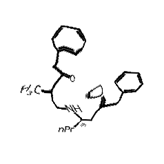 CCC[C@H](CC(=O)Cc1ccccc1)NCC(C)C(=O)Cc1ccccc1